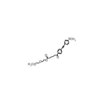 COCCOCCOC(=O)CCCCC(=O)c1ccc(C#Cc2ccc(SC)cc2)cc1